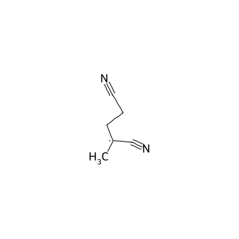 C[C](C#N)CCC#N